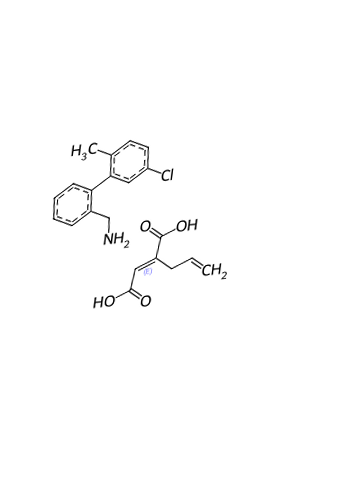 C=CC/C(=C\C(=O)O)C(=O)O.Cc1ccc(Cl)cc1-c1ccccc1CN